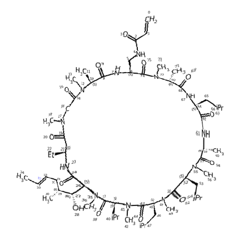 C=CC(=O)NC[C@@H]1NC(=O)[C@H](C)N(C)C(=O)CN(C)C(=O)[C@H](CC)NC(=O)[C@H]([C@H](O)[C@H](C)C/C=C/C)N(C)C(=O)[C@H](C(C)C)N(C)C(=O)[C@H](CC(C)C)N(C)C(=O)[C@H](CC(C)C)N(C)C(=O)[C@@H](C)NC(=O)[C@H](CC(C)C)NC(=O)[C@@H](C)N(C)C1=O